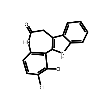 O=C1Cc2c([nH]c3ccccc23)-c2c(ccc(Cl)c2Cl)N1